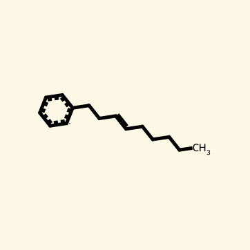 CCCCCC=CCCc1[c]cccc1